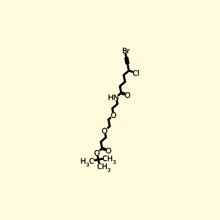 CC(C)(C)OC(=O)CCOCCOCCNC(=O)CCCC(Cl)C#CBr